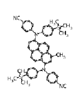 [C-]#[N+]c1ccc(N(c2ccc([Si](C)(C)C)cc2)c2cc(C)c3ccc4c(N(c5ccc(C#N)cc5)c5ccc([Si](C)(C)C)cc5)ccc5ccc2c3c54)cc1